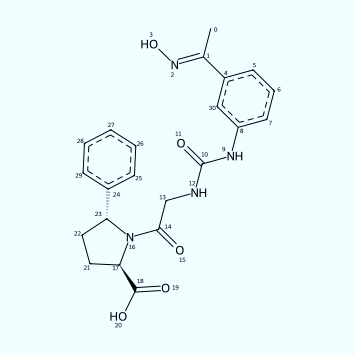 CC(=NO)c1cccc(NC(=O)NCC(=O)N2[C@@H](C(=O)O)CC[C@@H]2c2ccccc2)c1